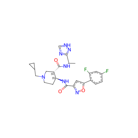 CC(NC(=O)[C@H]1CN(CC2CC2)CC[C@@H]1NC(=O)c1cc(-c2ccc(F)cc2F)on1)c1nc[nH]n1